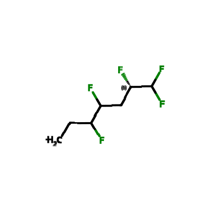 [CH2]CC(F)C(F)C[C@H](F)C(F)F